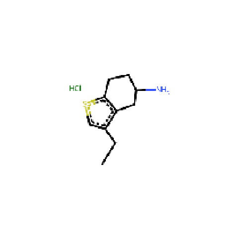 CCc1csc2c1CC(N)CC2.Cl